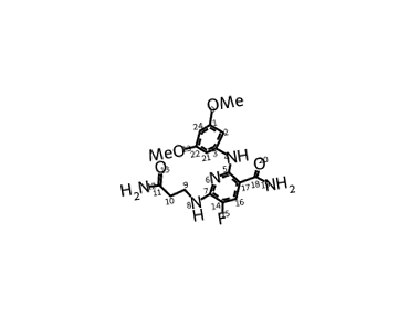 COc1cc(Nc2nc(NCCC(N)=O)c(F)cc2C(N)=O)cc(OC)c1